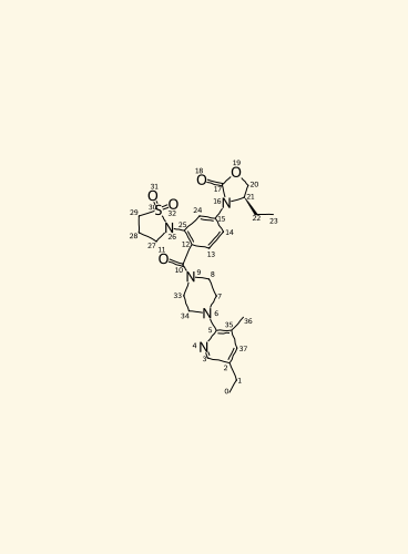 CCc1cnc(N2CCN(C(=O)c3ccc(N4C(=O)OC[C@H]4CC)cc3N3CCCS3(=O)=O)CC2)c(C)c1